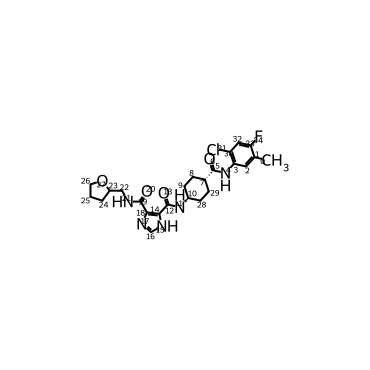 Cc1cc(NC(=O)[C@H]2CC[C@H](NC(=O)c3[nH]cnc3C(=O)NCC3CCCO3)CC2)c(Cl)cc1F